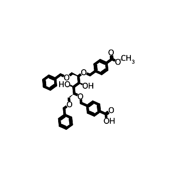 COC(=O)c1ccc(CO[C@H](COCc2ccccc2)[C@@H](O)[C@H](O)[C@@H](COCc2ccccc2)OCc2ccc(C(=O)O)cc2)cc1